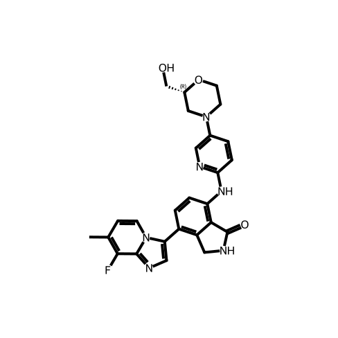 Cc1ccn2c(-c3ccc(Nc4ccc(N5CCO[C@@H](CO)C5)cn4)c4c3CNC4=O)cnc2c1F